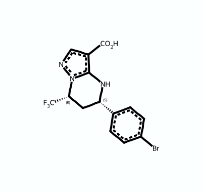 O=C(O)c1cnn2c1N[C@H](c1ccc(Br)cc1)C[C@@H]2C(F)(F)F